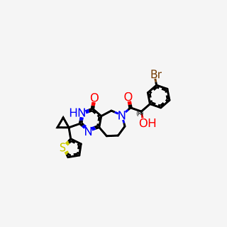 O=C([C@H](O)c1cccc(Br)c1)N1CCCc2nc(C3(c4cccs4)CC3)[nH]c(=O)c2C1